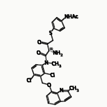 CC(=O)Nc1ccc(SCC(=O)[C@H](N)C(=O)N(C)c2ccc(Cl)c(COc3cccc4ccc(C)nc34)c2Cl)cc1